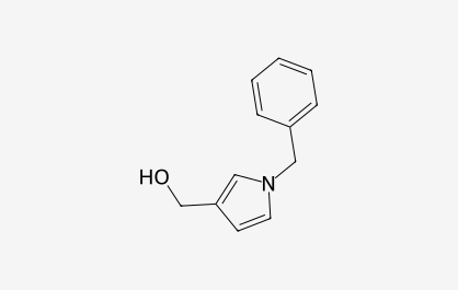 OCc1ccn(Cc2ccccc2)c1